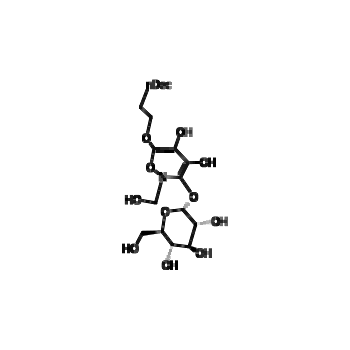 CCCCCCCCCCCCOC1=C(O)C(O)=C(O[C@H]2O[C@H](CO)[C@@H](O)[C@H](O)[C@H]2O)N(CO)O1